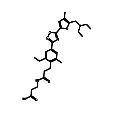 CCc1cc(-c2noc(-c3cc(C)c(CN(CC)CC)s3)n2)cc(C)c1CCC(=O)NCCC(=O)O